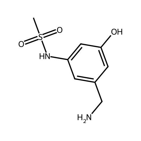 CS(=O)(=O)Nc1cc(O)cc(CN)c1